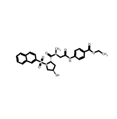 CCOC(=O)c1ccc(NC(=O)CN(C)C(=O)[C@@H]2C[C@@H](S)CN2S(=O)(=O)c2ccc3ccccc3c2)cc1